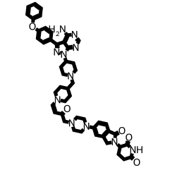 Nc1ncnc2c1c(-c1ccc(Oc3ccccc3)cc1)nn2C1CCN(CC2CCN(/C=C\C(=O)CN3CCN(c4ccc5c(c4)CN(C4CCC(=O)NC4=O)C5=O)CC3)CC2)CC1